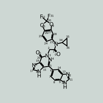 O=C(Cn1nc(-c2ccc3[nH]cnc3c2)c2[nH]cnc2c1=O)N(c1ccc2c(c1)OC(F)(F)O2)C1CC1